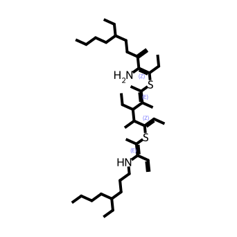 C=C/C(NCCCC(CC)CCCC)=C(/C)S/C(=C\C)C(C)C(CC)/C(C)=C(\C)S/C(CC)=C(\N)C(=C)CCC(CC)CCCC